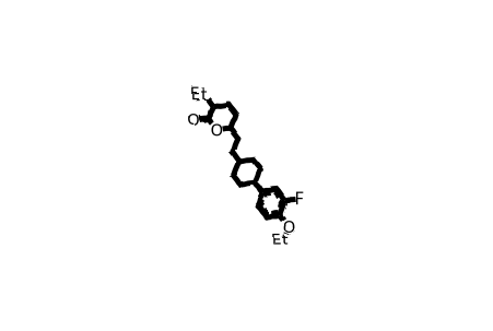 CCOc1ccc(C2CCC(CCC3CCC(CC)C(=O)O3)CC2)cc1F